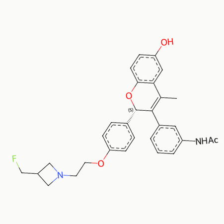 CC(=O)Nc1cccc(C2=C(C)c3cc(O)ccc3O[C@H]2c2ccc(OCCN3CC(CF)C3)cc2)c1